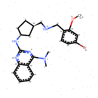 CN(C)c1nc(N[C@H]2CC[C@@H](CNCc3ccc(Br)cc3OC(F)(F)F)C2)nc2ccccc12